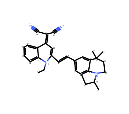 CCN1C(/C=C/c2cc3c4c(c2)C(C)(C)CCN4C(C)C3)=CC(=C(C#N)C#N)c2ccccc21